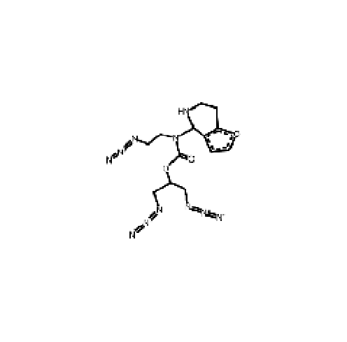 [N-]=[N+]=NCCN(C(=O)OC(CN=[N+]=[N-])CN=[N+]=[N-])C1NCCc2occc21